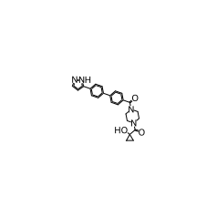 O=C(c1ccc(-c2ccc(-c3ccn[nH]3)cc2)cc1)N1CCN(C(=O)C2(O)CC2)CC1